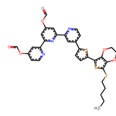 CCCCCSc1sc(-c2ccc(-c3ccnc(-c4cc(OC=O)cc(-c5cc(OC=O)ccn5)n4)c3)s2)c2c1OCCO2